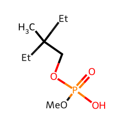 CCC(C)(CC)COP(=O)(O)OC